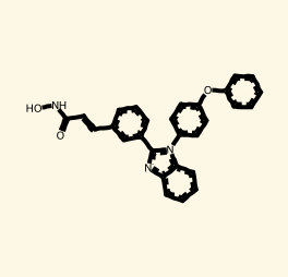 O=C(C=Cc1cccc(-c2nc3ccccc3n2-c2ccc(Oc3ccccc3)cc2)c1)NO